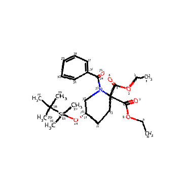 CCOC(=O)C1(C(=O)OCC)CC[C@H](O[Si](C)(C)C(C)(C)C)CN1C(=O)c1ccccc1